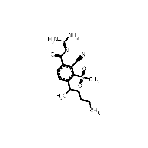 CCCCC(C)c1ccc(C(=O)N=C(N)N)c(C#N)c1S(C)(=O)=O